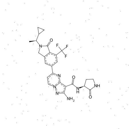 C[C@@H](C1CC1)N1Cc2cc(-c3ccn4nc(N)c(C(=O)N[C@H]5CCNC5=O)c4n3)cc(C(F)(F)F)c2C1=O